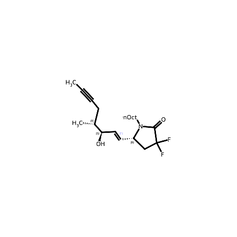 CC#CC[C@@H](C)[C@H](O)/C=C/[C@H]1CC(F)(F)C(=O)N1[CH]CCCCC[CH]C